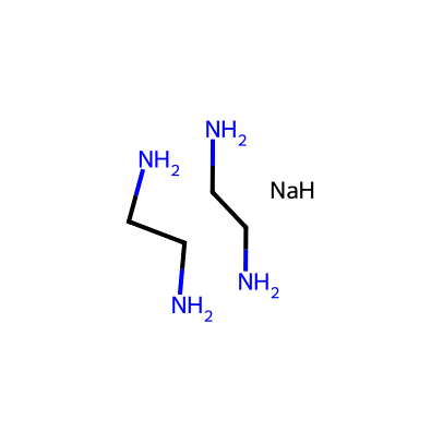 NCCN.NCCN.[NaH]